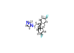 Fc1ccc([SiH](CCn2ccnc2)c2ccc(F)cc2)cc1